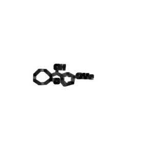 COc1cccc(C(O)C2CCCCCCC2=O)c1